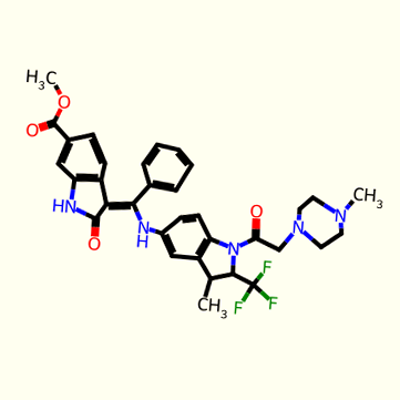 COC(=O)c1ccc2c(c1)NC(=O)/C2=C(\Nc1ccc2c(c1)C(C)C(C(F)(F)F)N2C(=O)CN1CCN(C)CC1)c1ccccc1